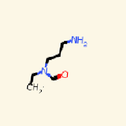 [CH2]CN(C=O)CCCN